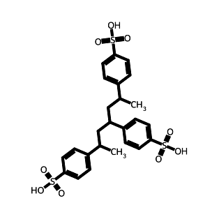 CC(CC(CC(C)c1ccc(S(=O)(=O)O)cc1)c1ccc(S(=O)(=O)O)cc1)c1ccc(S(=O)(=O)O)cc1